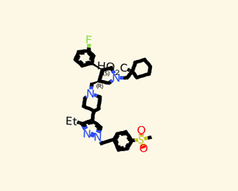 CCc1nn(Cc2ccc(S(C)(=O)=O)cc2)cc1C1CCN(C[C@@H]2CN(CC3(C(=O)O)CCCCC3)C[C@@H]2c2cccc(F)c2)CC1